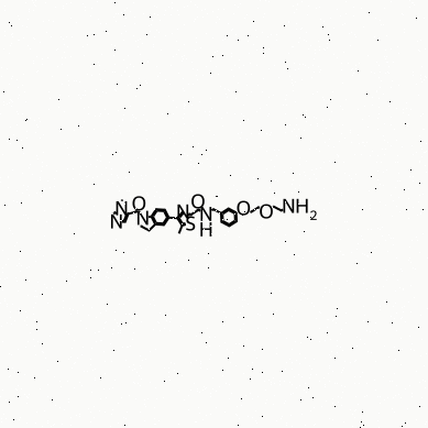 Cc1sc(C(=O)NCc2cccc(OCCOCCN)c2)nc1-c1ccc2c(c1)CCN2C(=O)c1cncn1C